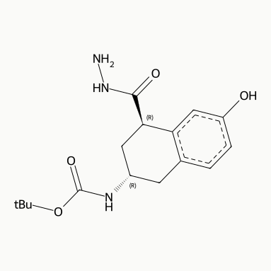 CC(C)(C)OC(=O)N[C@H]1Cc2ccc(O)cc2[C@H](C(=O)NN)C1